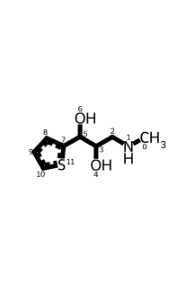 CNCC(O)C(O)c1cccs1